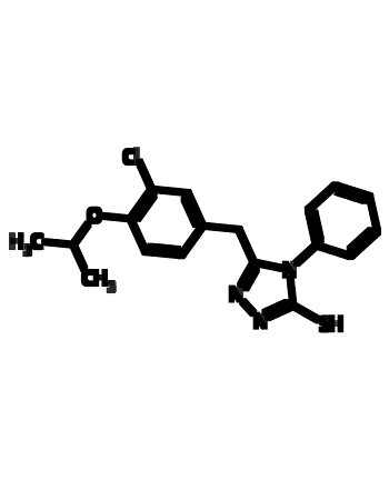 CC(C)Oc1ccc(Cc2nnc(S)n2-c2ccccc2)cc1Cl